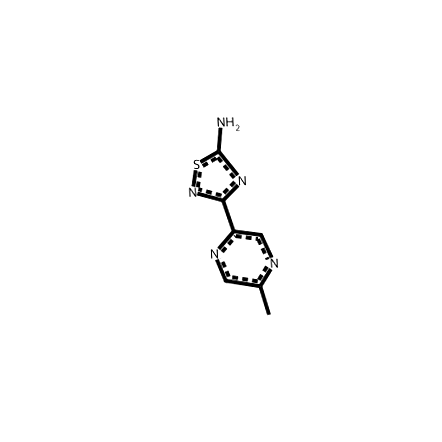 Cc1cnc(-c2nsc(N)n2)cn1